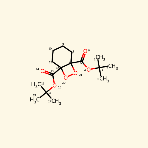 CC(C)(C)OC(=O)C12CCCCC1(C(=O)OC(C)(C)C)OO2